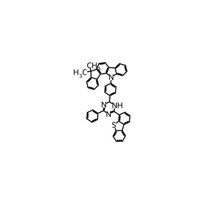 CC1(C)c2ccccc2-c2c1ccc1c3ccccc3n(-c3ccc(C4N=C(c5ccccc5)N=C(c5cccc6c5sc5ccccc56)N4)cc3)c21